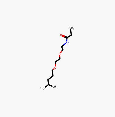 CCC(=O)NCCOCCOCCCC(C)C